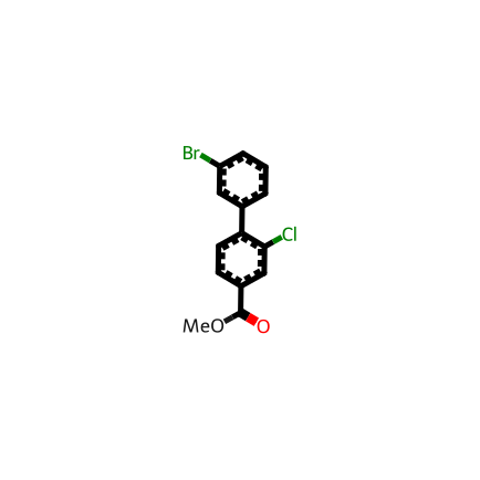 COC(=O)c1ccc(-c2cccc(Br)c2)c(Cl)c1